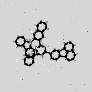 c1ccc(-c2nc(-c3ccc4c(c3)-c3cccc5cccc-4c35)nc(-c3cc4ccccc4cc3-n3c4ccccc4c4ccccc43)n2)cc1